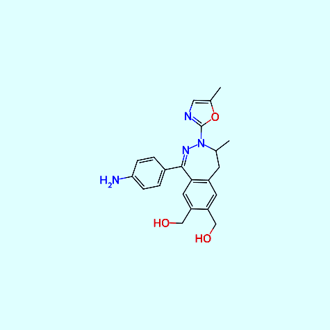 Cc1cnc(N2N=C(c3ccc(N)cc3)c3cc(CO)c(CO)cc3CC2C)o1